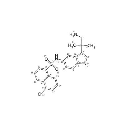 CC(C)(CN)c1c[nH]c2ccc(NS(=O)(=O)c3cccc4c(Cl)cccc34)cc12